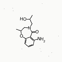 CC(O)CN1CC(C)Oc2cccc(N)c2C1=O